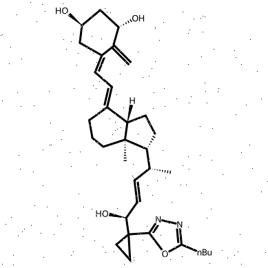 C=C1/C(=C\C=C2/CCC[C@]3(C)[C@@H]([C@H](C)/C=C/[C@H](O)C4(c5nnc(CCCC)o5)CC4)CC[C@@H]23)C[C@@H](O)C[C@@H]1O